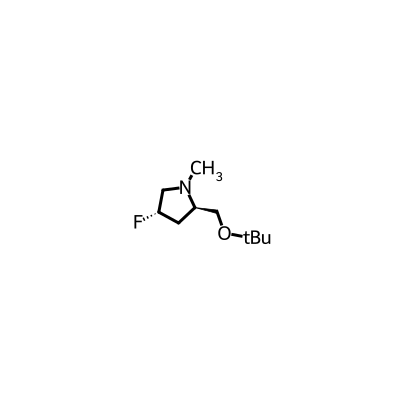 CN1C[C@@H](F)C[C@@H]1COC(C)(C)C